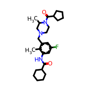 Cc1c(CN2CCN(C(=O)C3CCCC3)C(C)C2)cc(F)cc1NC(=O)C1CCCCC1